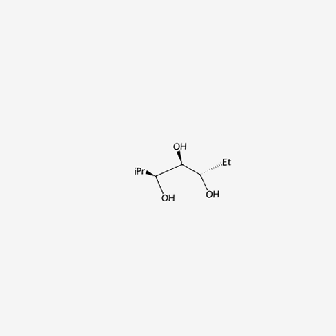 CC[C@H](O)[C@H](O)[C@@H](O)C(C)C